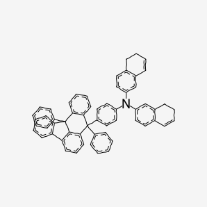 C1=Cc2cc(N(c3ccc(C4(c5ccccc5)c5ccccc5C5(c6ccccc6)c6ccccc6-c6cccc4c65)cc3)c3ccc4c(c3)CCC=C4)ccc2CC1